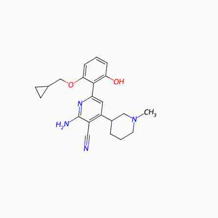 CN1CCCC(c2cc(-c3c(O)cccc3OCC3CC3)nc(N)c2C#N)C1